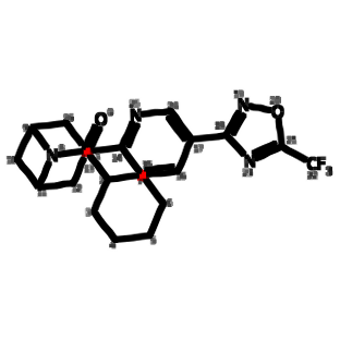 O=C(C1CCCCC1)N1C2CC1CN(c1ccc(-c3noc(C(F)(F)F)n3)cn1)C2